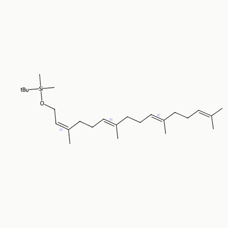 CC(C)=CCC/C(C)=C/CC/C(C)=C/CC/C(C)=C\CO[Si](C)(C)C(C)(C)C